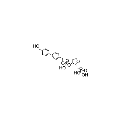 O=P(O)(O)OC[C@H]1OCC[C@@H]1OP(=O)(O)OCc1ccc(-c2ccc(CO)cc2)cc1